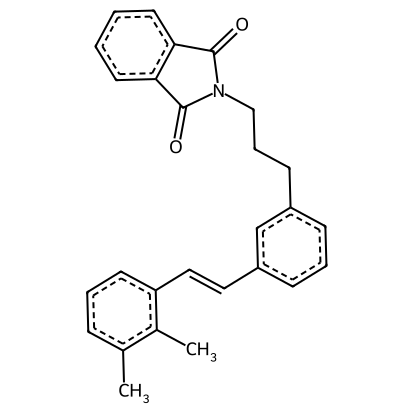 Cc1cccc(C=Cc2cccc(CCCN3C(=O)c4ccccc4C3=O)c2)c1C